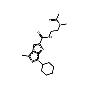 CC(=O)N(C)CCNC(=O)c1cc2c(C)nn(C3CCCCC3)c2s1